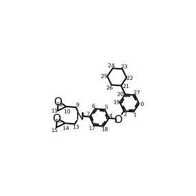 c1cc(Oc2ccc(N(CC3CO3)CC3CO3)cc2)cc(C2CCCCC2)c1